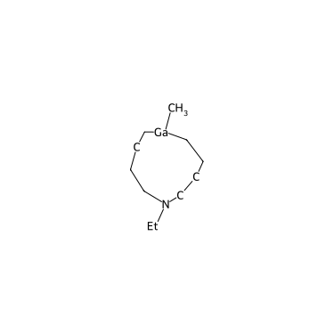 CCN1CCC[CH2][Ga]([CH3])[CH2]CCC1